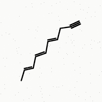 C#CCC=CC=CC=CC